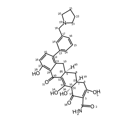 NC(=O)C1=C(O)C[C@@H]2C[C@@H]3Cc4c(-c5cccc(CN6CCCC6)c5)ccc(O)c4C(=O)C3=C(O)[C@]2(O)C1=O